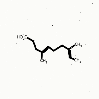 CC=C(C)CCC=C(C)CCC(=O)O